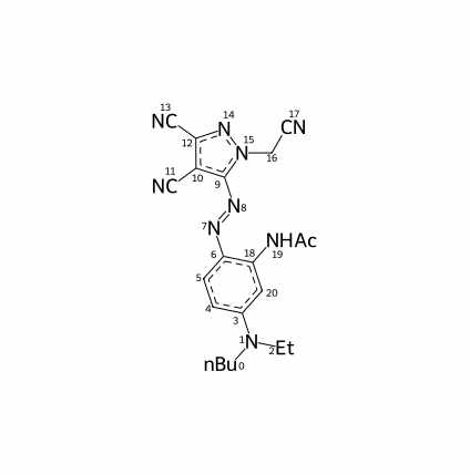 CCCCN(CC)c1ccc(N=Nc2c(C#N)c(C#N)nn2CC#N)c(NC(C)=O)c1